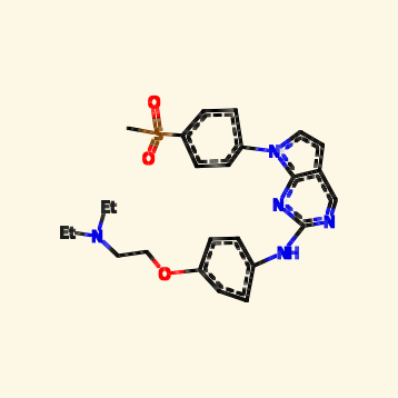 CCN(CC)CCOc1ccc(Nc2ncc3ccn(-c4ccc(S(C)(=O)=O)cc4)c3n2)cc1